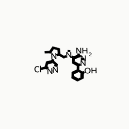 CC1CCC(CN(C)c2cc(-c3ccccc3O)nnc2N)N1c1cnnc(Cl)c1